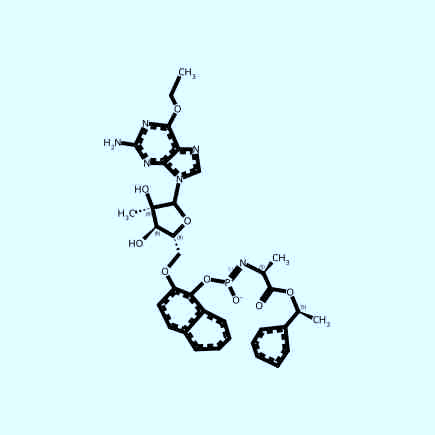 CCOc1nc(N)nc2c1ncn2C1O[C@H](COc2ccc3ccccc3c2O/[P+]([O-])=N/[C@@H](C)C(=O)O[C@@H](C)c2ccccc2)[C@@H](O)[C@@]1(C)O